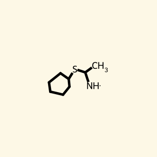 CC([NH])SC1CCCCC1